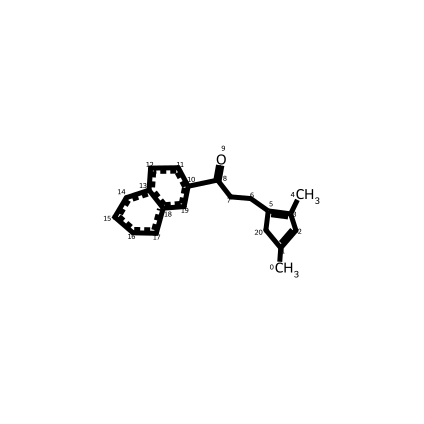 CC1=CC(C)=C(CCC(=O)c2ccc3ccccc3c2)C1